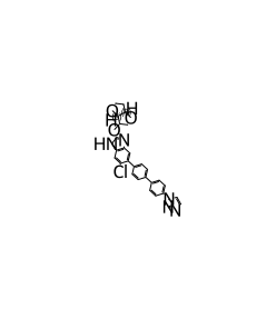 Clc1cc2[nH]c(OC3CO[C@@H]4CCO[C@H]34)nc2cc1-c1ccc(-c2ccc(-n3ccnn3)cc2)cc1